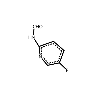 O=CNc1ccc(F)cn1